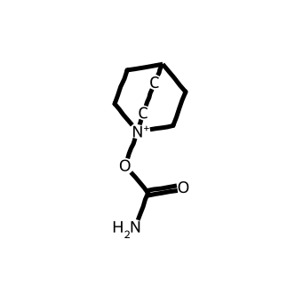 NC(=O)O[N+]12CCC(CC1)CC2